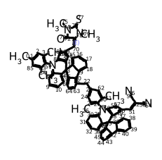 Cc1cc(C)c(N2c3ccccc3C3(c4ccccc4-c4c(Cc5cc(C)c(N6c7ccccc7C7(c8ccccc8-c8ccccc87)c7cc(C=C(C#N)C#N)ccc76)c(C)c5)cccc43)c3cc(/C=C4\C(=O)N(C)C(=S)N4C)ccc32)c(C)c1